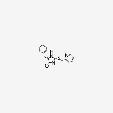 O=C1N=C(SCc2ccccn2)N/C1=C\c1ccccc1